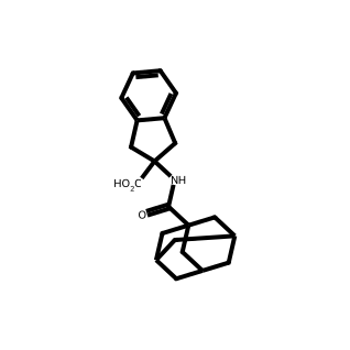 O=C(NC1(C(=O)O)Cc2ccccc2C1)C12CC3CC(CC(C3)C1)C2